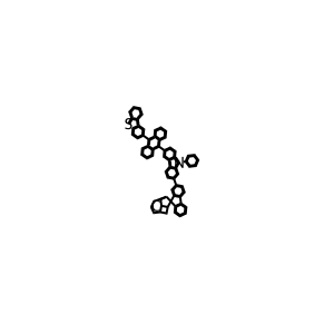 c1ccc(-n2c3ccc(-c4c5ccccc5c(-c5ccc6sc7ccccc7c6c5)c5ccccc45)cc3c3ccc(-c4ccc5c(c4)C4(c6ccccc6-5)C5CC6CC7CC4C7(C6)C5)cc32)cc1